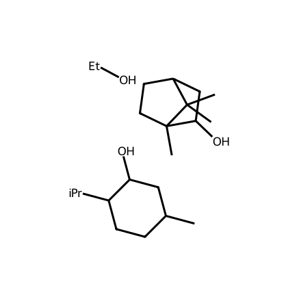 CC1(C)C2CCC1(C)C(O)C2.CC1CCC(C(C)C)C(O)C1.CCO